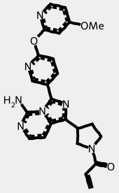 C=CC(=O)N1CCC(c2nc(-c3ccc(Oc4cc(OC)ccn4)nc3)n3c(N)nccc23)C1